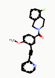 COc1ccc(C(=O)N2CCc3c(F)cccc3C2)cc1C#Cc1ccccn1